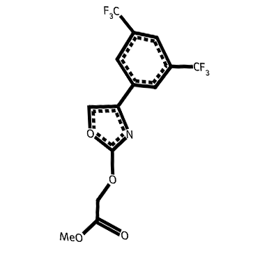 COC(=O)COc1nc(-c2cc(C(F)(F)F)cc(C(F)(F)F)c2)co1